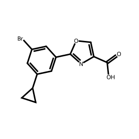 O=C(O)c1coc(-c2cc(Br)cc(C3CC3)c2)n1